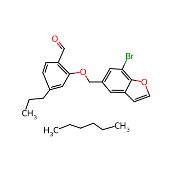 CCCCCC.CCCc1ccc(C=O)c(OCc2cc(Br)c3occc3c2)c1